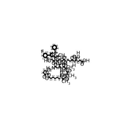 C[C@H](NC(=O)[C@H](C)N(C)CCCCCC(=O)ON1C(=O)CCC1=O)C(=O)N[C@H](C)C(=O)N[C@@H](CC(N)=O)C(=O)N[C@@H](CCN(C(=O)CO)[C@@H](c1cc(-c2cc(F)ccc2F)cn1Cc1ccccc1)C(C)(C)C)C(=O)NCCC(=O)N[C@H](CCC(=O)O)C(=O)O